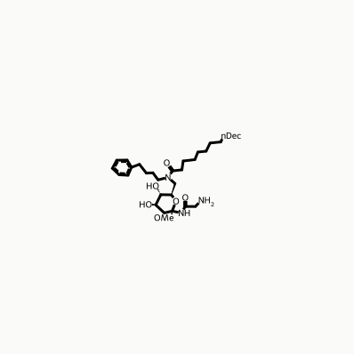 CCCCCCCCCCCCCCCCCC(=O)N(CCCCc1ccccc1)C[C@H]1O[C@](NC(=O)CN)(OC)C[C@@H](O)[C@@H]1O